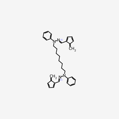 C=C1C=CC=C1/C=N/N(CCCCCCCCN(/N=C/C1=CC=CC1=C)c1ccccc1)c1ccccc1